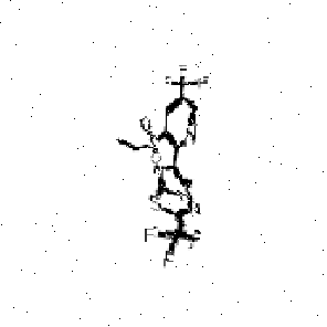 CCS(=O)(=O)c1cc(C(F)(F)F)cnc1-c1cn2nc(C(F)(F)F)sc2n1